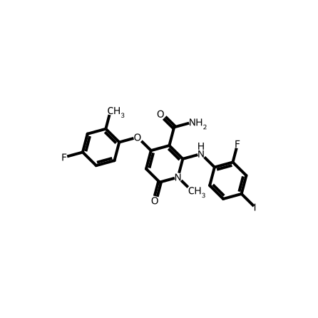 Cc1cc(F)ccc1Oc1cc(=O)n(C)c(Nc2ccc(I)cc2F)c1C(N)=O